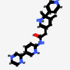 CC1=CC(CC(=O)Nc2ccc(-c3cnccn3)cn2)=CNC1(C)c1ccncc1